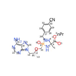 CCCOC(=O)C(C)(C)NP(=O)(CO[C@H](C)Cn1cnc2c(N)ncnc21)NCc1ccc(C#N)cc1